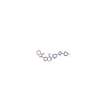 O=C(Nc1ncc(-c2ccn(-c3ccc(F)cc3)n2)cc1F)c1cc(NC(=O)C2COCCO2)ccc1Cl